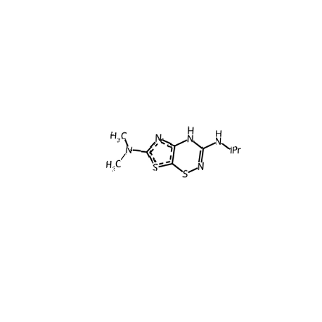 CC(C)NC1=NSc2sc(N(C)C)nc2N1